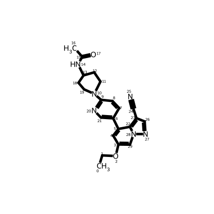 CCOc1cc(-c2ccc(N3CCC(NC(C)=O)CC3)nc2)c2c(C#N)cnn2c1